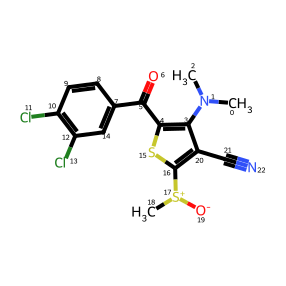 CN(C)c1c(C(=O)c2ccc(Cl)c(Cl)c2)sc([S+](C)[O-])c1C#N